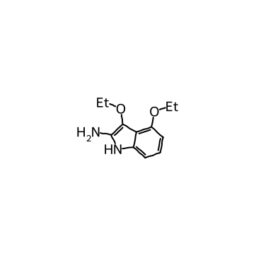 CCOc1cccc2[nH]c(N)c(OCC)c12